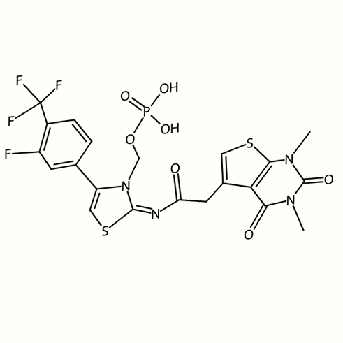 Cn1c(=O)c2c(CC(=O)N=c3scc(-c4ccc(C(F)(F)F)c(F)c4)n3COP(=O)(O)O)csc2n(C)c1=O